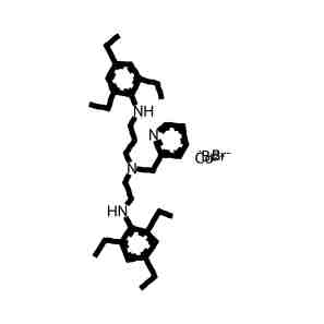 CCc1cc(CC)c(NCCCN(CCNc2c(CC)cc(CC)cc2CC)Cc2ccccn2)c(CC)c1.[Br-].[Br-].[Co+2]